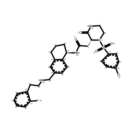 O=C(C[C@@H]1C(=O)NCCN1S(=O)(=O)c1ccc(Cl)cc1)N[C@@H]1CCCc2cc(CNCCc3ccccc3F)ccc21